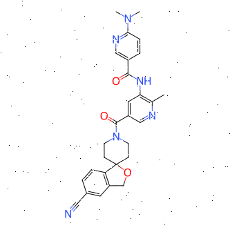 Cc1ncc(C(=O)N2CCC3(CC2)OCc2cc(C#N)ccc23)cc1NC(=O)c1ccc(N(C)C)nc1